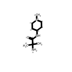 CN1CCC(NC(=O)C(C)(C)N)CC1